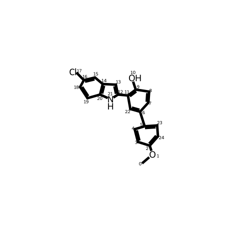 COc1ccc(-c2ccc(O)c(-c3cc4cc(Cl)ccc4[nH]3)c2)cc1